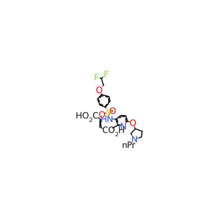 CCCN1CCC(Oc2ccc(NS(=O)(=O)c3ccc(OCC(F)F)cc3)c(C)n2)C1.O=C(O)C=CC(=O)O